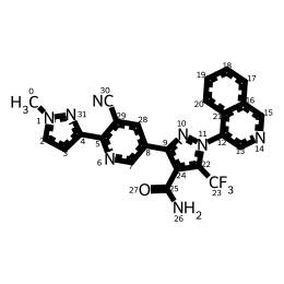 Cn1ccc(-c2ncc(-c3nn(-c4cncc5ccccc45)c(C(F)(F)F)c3C(N)=O)cc2C#N)n1